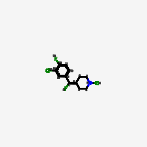 FC(=C1CCN(Cl)CC1)c1ccc(F)c(Cl)c1